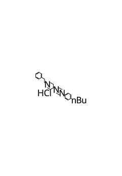 CCCCc1ccc(N2CCN(C3CCN(CCc4ccccc4)CC3)CC2)cc1.Cl